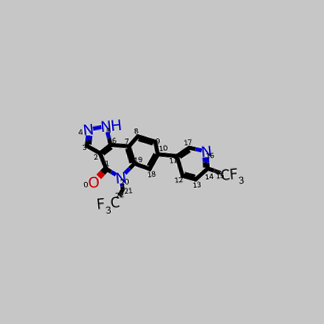 O=c1c2cn[nH]c2c2ccc(-c3ccc(C(F)(F)F)nc3)cc2n1CC(F)(F)F